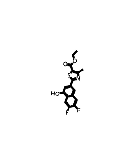 CCOC(=O)c1sc(-c2cc(O)c3cc(F)c(F)cc3c2)nc1C